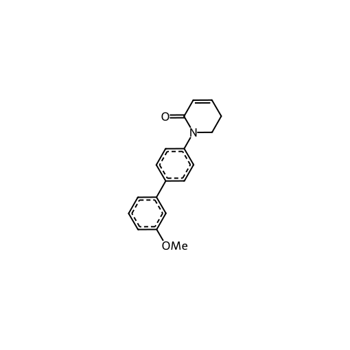 COc1cccc(-c2ccc(N3CCC=CC3=O)cc2)c1